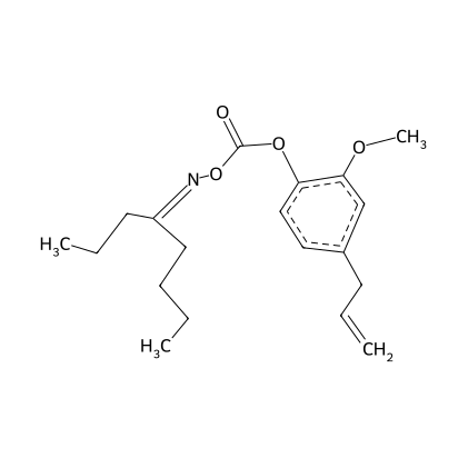 C=CCc1ccc(OC(=O)ON=C(CCC)CCCC)c(OC)c1